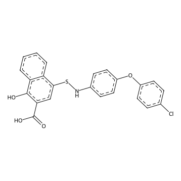 O=C(O)c1cc(SNc2ccc(Oc3ccc(Cl)cc3)cc2)c2ccccc2c1O